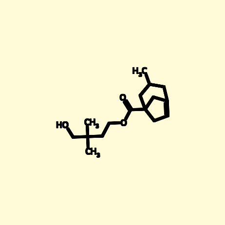 CC1CC2=CCC(C(=O)OCCC(C)(C)CO)(C2)C1